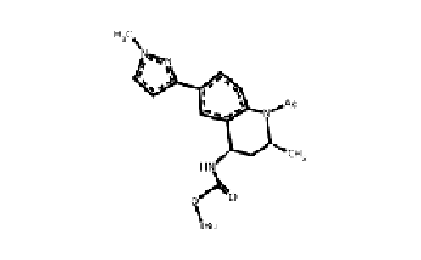 CC(=O)N1c2ccc(-c3ccn(C)n3)cc2[C@H](NC(=O)OC(C)(C)C)C[C@@H]1C